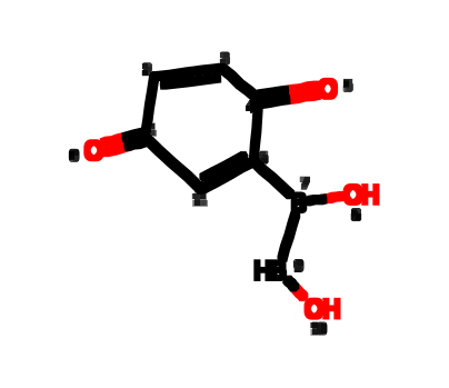 O=C1C=CC(=O)C(B(O)BO)=C1